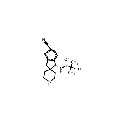 CC(C)(C)[S@@+]([O-])N[C@H]1c2ccc(C#N)cc2CC12CCNCC2